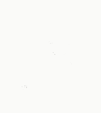 O=c1c2ccccc2[se]n1-c1ccc([N+](=O)[O-])cc1